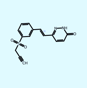 C#CCS(=O)(=O)c1cccc(/C=C/c2ccc(=O)[nH]n2)c1